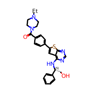 CCN1CCN(C(=O)c2ccc(-c3cc4c(N[C@H](CO)c5ccccc5)ncnc4s3)cc2)CC1